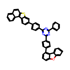 c1ccc(-c2nc(-c3ccc(-c4ccc5c(c4)sc4ccc6ccccc6c45)cc3)nc(-c3ccc(-c4cccc5oc6ccccc6c45)cc3)n2)cc1